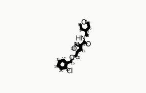 O=C(NCC1CCOCC1)c1cc(COCc2ccccc2Cl)on1